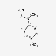 CN(CC#N)c1ccc([N+](=O)[O-])cc1